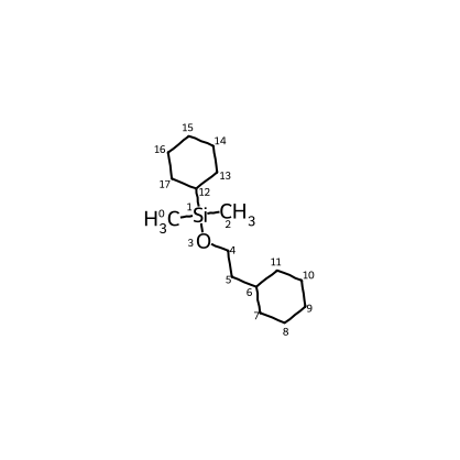 C[Si](C)(OCCC1CCCCC1)C1CCCCC1